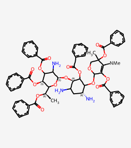 CNC1=C(OC(=O)c2ccccc2)C(OC2C(OC(=O)c3ccccc3)[C@H](O[C@H]3OC([C@@H](C)OC(=O)c4ccccc4)[C@@H](OC(=O)c4ccccc4)C(OC(=O)c4ccccc4)C3N)C(N)C[C@H]2N)OCC1(C)OC(=O)c1ccccc1